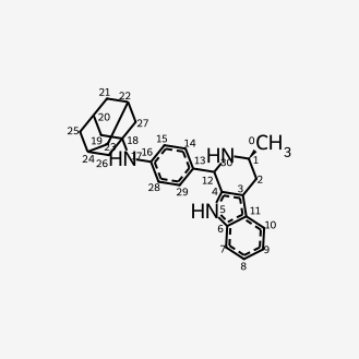 C[C@H]1Cc2c([nH]c3ccccc23)C(c2ccc(NC34CC5CC(CC(C5)C3)C4)cc2)N1